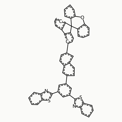 c1ccc2c(c1)Oc1ccccc1C21c2ccccc2-c2cc(-c3ccc4cc(-c5cc(-c6nc7ccccc7s6)cc(-c6nc7ccccc7s6)c5)ccc4c3)ccc21